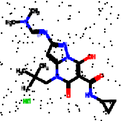 CN(C)/C=N/c1cc2n(CC(C)(C)C)c(=O)c(C(=O)NC3CC3)c(O)n2n1.Cl